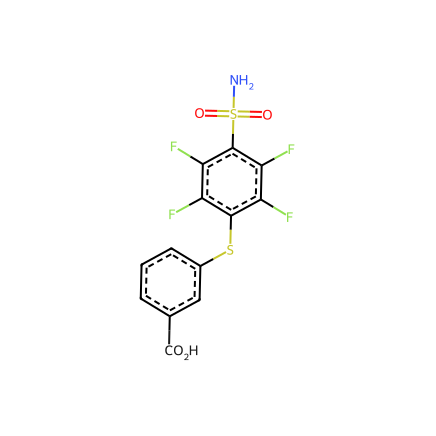 NS(=O)(=O)c1c(F)c(F)c(Sc2cccc(C(=O)O)c2)c(F)c1F